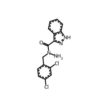 NN(Cc1ccc(Cl)cc1Cl)C(=O)c1n[nH]c2ccccc12